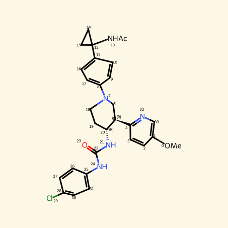 COc1ccc([C@@H]2CN(c3ccc(C4(NC(C)=O)CC4)cc3)CC[C@H]2NC(=O)Nc2ccc(Cl)cc2)nc1